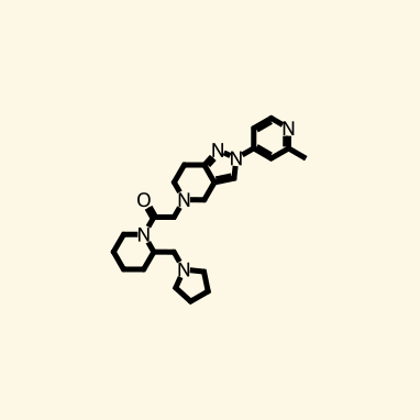 Cc1cc(-n2cc3c(n2)CCN(CC(=O)N2CCCCC2CN2CCCC2)C3)ccn1